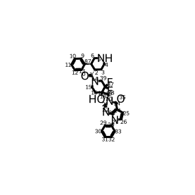 O=C([C@H]1CCNC[C@@H]1c1ccccc1)N1CCC(O)(Cn2cnc3c(ccn3-c3ccccc3)c2=O)C(F)(F)C1